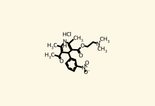 CC(=O)C1=C(C)NC(C)=C(C(=O)OCCN(C)C)C1c1cccc([N+](=O)[O-])c1.Cl